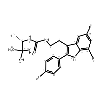 C[C@H](NC(=O)NCCc1c(-c2ccc(F)cc2)[nH]c2c(F)cc(F)cc12)C(C)(C)O